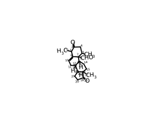 CC1C(=O)CC(C)[C@@]2(C=O)C1=CC[C@@H]1[C@H]2CC[C@]2(C)C(=O)CC[C@@H]12